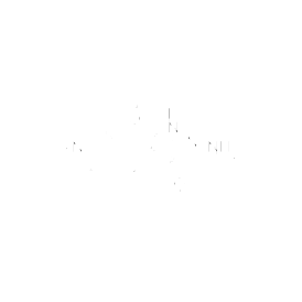 NN1NC(=O)C(=Cc2cncs2)C1=O